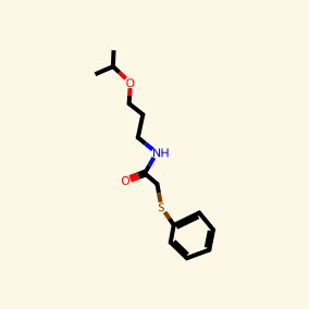 CC(C)OCCCNC(=O)CSc1ccccc1